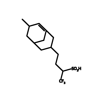 CC1C=C2CC(CCC(C(F)(F)F)S(=O)(=O)O)CC(C2)C1